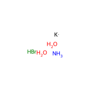 Br.N.O.O.[K]